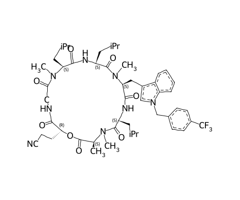 CC(C)C[C@@H]1NC(=O)[C@H](Cc2cn(Cc3ccc(C(F)(F)F)cc3)c3ccccc23)N(C)C(=O)[C@H](CC(C)C)NC(=O)[C@H](CC(C)C)N(C)C(=O)CNC(=O)[C@@H](CCC#N)OC(=O)[C@H](C)N(C)C1=O